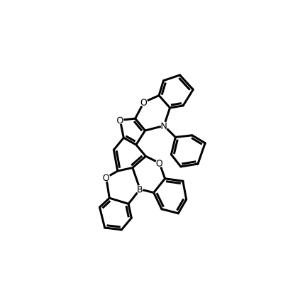 c1ccc(N2c3ccccc3Oc3oc4cc5c6c(c4c32)Oc2ccccc2B6c2ccccc2O5)cc1